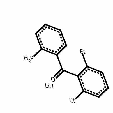 CCc1cccc(CC)c1C(=O)c1ccccc1P.[LiH]